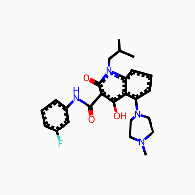 CC(C)Cn1c(=O)c(C(=O)Nc2cccc(F)c2)c(O)c2c(N3CCN(C)CC3)cccc21